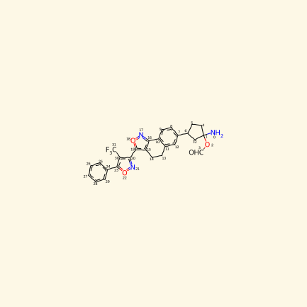 NC1(OC=O)CCC(c2ccc3c(c2)CCc2c-3noc2-c2noc(-c3ccccc3)c2C(F)(F)F)C1